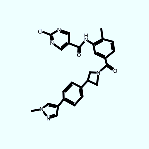 Cc1ccc(C(=O)N2CC(c3ccc(-c4cnn(C)c4)cc3)C2)cc1NC(=O)c1cnc(Cl)nc1